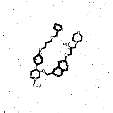 O=C(O)N1CC[C@@H](c2ccc(OCCCOCc3cccs3)cc2)[C@H](OCc2ccc3ccc(OC[C@@H](O)CN4CCOCC4)cc3c2)C1